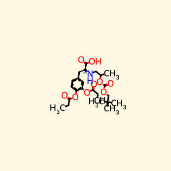 CCC(=O)Oc1ccc(C[C@H](NCC(C)OC(=O)OCC(C)(C)C)C(=O)O)cc1OC(=O)CC